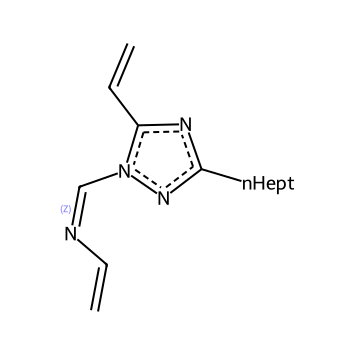 C=C/N=C\n1nc(CCCCCCC)nc1C=C